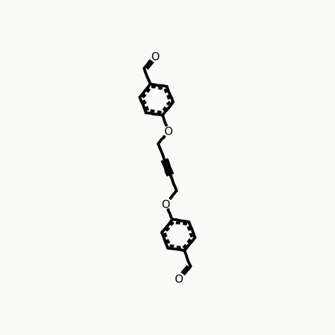 O=Cc1ccc(OCC#CCOc2ccc(C=O)cc2)cc1